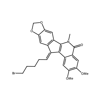 COc1cc2c3c(n(C)c(=O)c2cc1OC)-c1cc2c(cc1C3=CCCCCBr)OCO2